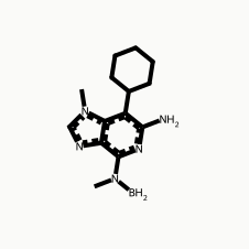 BN(C)c1nc(N)c(C2CCCCC2)c2c1ncn2C